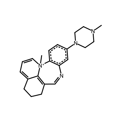 CN1CCN(c2ccc3c(c2)N=CC2=C4C(=CC=C[N+]43C)CCC2)CC1